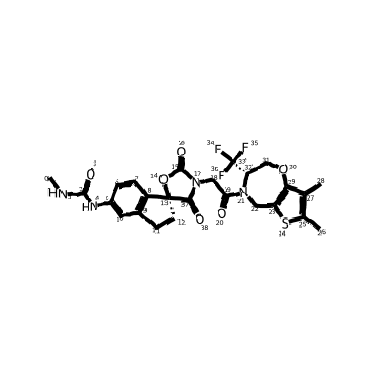 CNC(=O)Nc1ccc2c(c1)CC[C@@]21OC(=O)N(CC(=O)N2Cc3sc(C)c(C)c3OC[C@H]2C(F)(F)F)C1=O